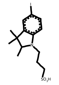 CC1N(CCCS(=O)(=O)O)c2ccc(I)cc2C1(C)C